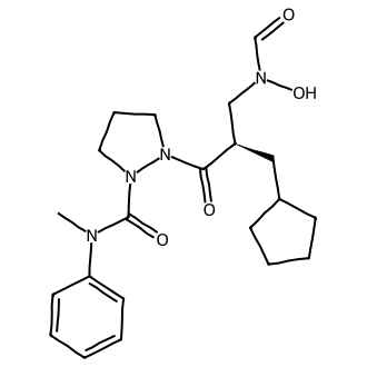 CN(C(=O)N1CCCN1C(=O)[C@H](CC1CCCC1)CN(O)C=O)c1ccccc1